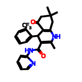 CC1=C(C(=O)Nc2ccccn2)C(c2ccccc2C(F)(F)F)C2=C(CC(C)(C)CC2=O)N1